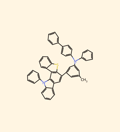 Cc1cc(-c2cc3c4ccccc4n(-c4ccccc4)c3c3c2sc2ccccc23)cc(N(c2ccccc2)c2ccc(-c3ccccc3)cc2)c1